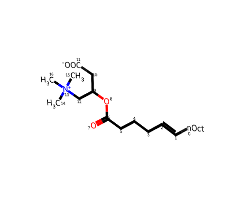 CCCCCCCCC=CCCCC(=O)OC(CC(=O)[O-])C[N+](C)(C)C